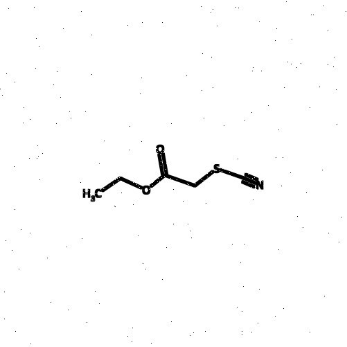 CCOC(=O)CSC#N